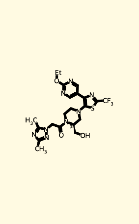 CCOc1ncc(-c2nc(C(F)(F)F)sc2N2CCN(C(=O)Cn3nc(C)nc3C)[C@H](CO)C2)cn1